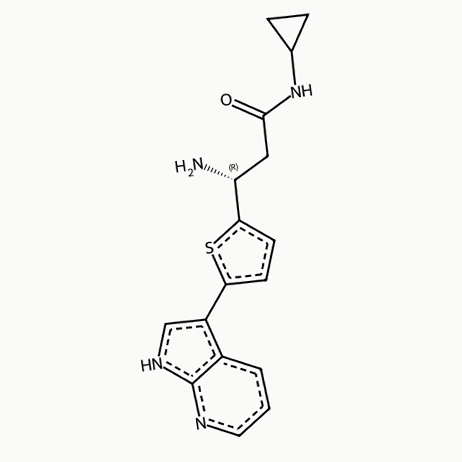 N[C@H](CC(=O)NC1CC1)c1ccc(-c2c[nH]c3ncccc23)s1